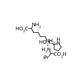 CC(C)C(N)C(=O)O.NCCCCC(N)C(=O)O.O=C(O)C1CCCN1